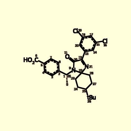 C[C@H](c1ccc(C(=O)O)cc1)N1C(=O)C(c2cc(Cl)cc(Cl)c2)=NC12CCC(C(C)(C)C)CC2